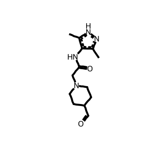 Cc1n[nH]c(C)c1NC(=O)CN1CCC(C=O)CC1